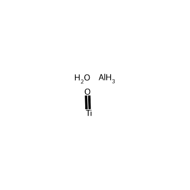 O.[AlH3].[O]=[Ti]